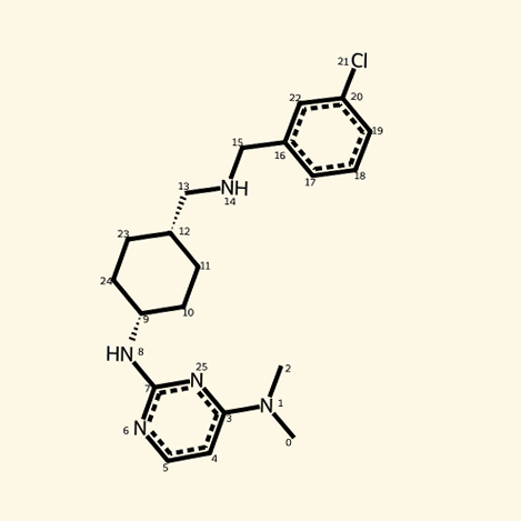 CN(C)c1ccnc(N[C@H]2CC[C@@H](CNCc3cccc(Cl)c3)CC2)n1